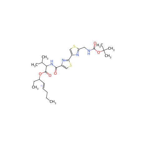 CCC/C=C/C(CC)OC(=O)C(NC(=O)c1csc(-c2csc(CNC(=O)OC(C)(C)C)n2)n1)C(C)C